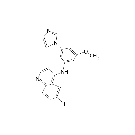 COc1cc(Nc2ccnc3ccc(I)cc23)cc(-n2ccnc2)c1